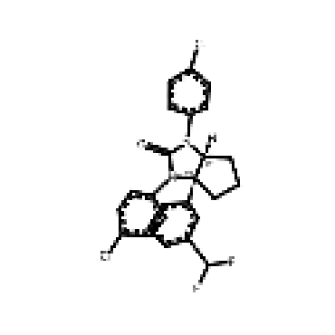 O=C1N(c2ccc(Cl)cc2)[C@@H]2CCC[C@]2(c2cccc(C(F)F)c2)N1c1ccc(Cl)cc1